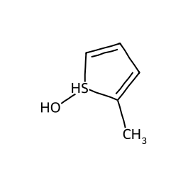 CC1=CC=C[SH]1O